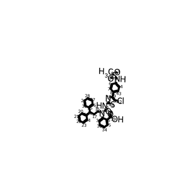 CS(=O)(=O)Nc1ccc(-c2nc(NC(=O)N(CCC(c3ccccc3)c3ccccc3)c3ccccc3C(=O)O)sc2Cl)cc1